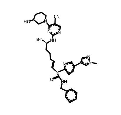 CCC[C@H](CCC/C=C/N(C(=O)NCc1ccccc1)c1ccc(-c2cnn(C)c2)cn1)Nc1ncc(C#N)c(N2CCCC(O)C2)n1